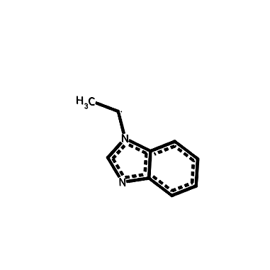 C[CH]n1cnc2ccccc21